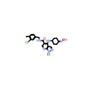 CCn1ncc2c(NC3CCC(=NO)CC3)c(C(=O)NCc3ccc(C)c(Cl)c3)cnc21